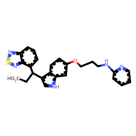 O=C(O)CC(c1c[nH]c2cc(OCCCNc3ccccn3)ccc12)c1cccc2nsnc12